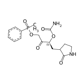 CP(=O)(OCC(=O)[C@H](CC1CCNC1=O)OC(N)=O)c1ccccc1